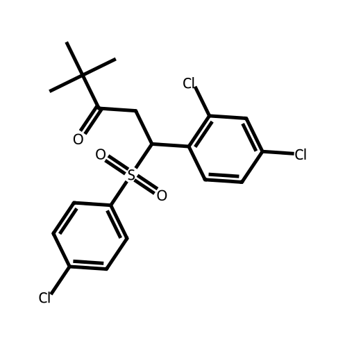 CC(C)(C)C(=O)CC(c1ccc(Cl)cc1Cl)S(=O)(=O)c1ccc(Cl)cc1